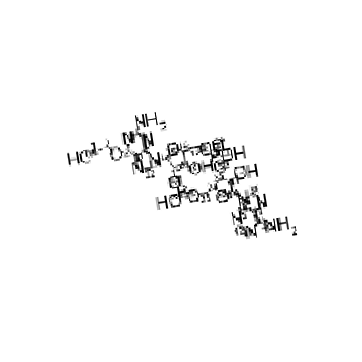 C#CCOc1nc(N)nc2c1ncn2C1OC2COP(=O)(O)OC3C(COP(O)OC1C2O)OC(n1cnc2c(N)ncnc21)C3O